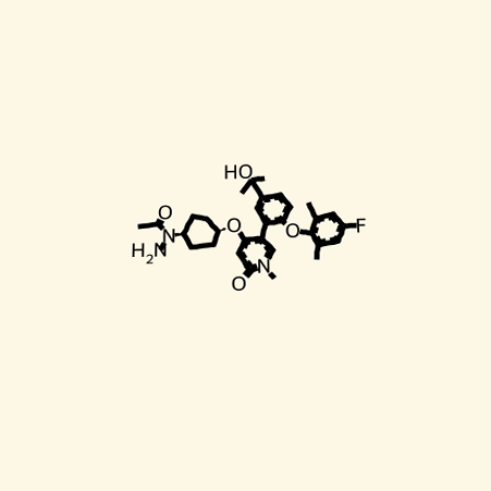 CC(=O)N(N)[C@H]1CC[C@H](Oc2cc(=O)n(C)cc2-c2cc(C(C)(C)O)ccc2Oc2c(C)cc(F)cc2C)CC1